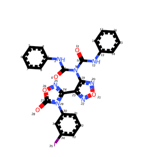 O=C(Nc1ccccc1)N(C(=O)Nc1ccccc1)c1nonc1-c1noc(=O)n1-c1cccc(I)c1